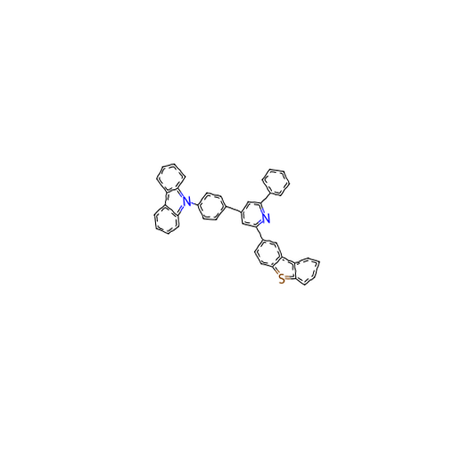 c1ccc(-c2cc(-c3ccc(-n4c5ccccc5c5ccccc54)cc3)cc(-c3ccc4sc5ccccc5c4c3)n2)cc1